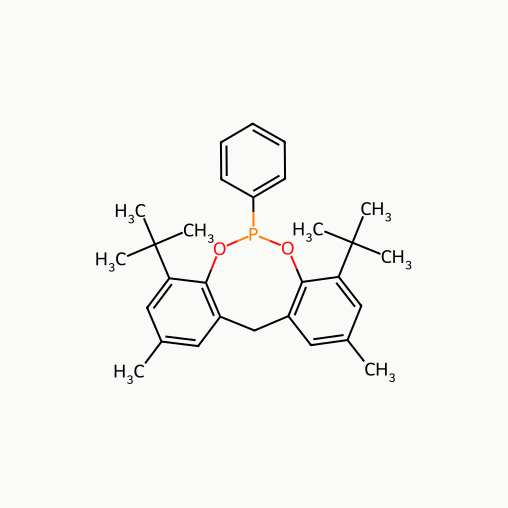 Cc1cc2c(c(C(C)(C)C)c1)OP(c1ccccc1)Oc1c(cc(C)cc1C(C)(C)C)C2